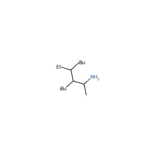 CCC(C)C(CC)C(C(C)N)C(C)CC